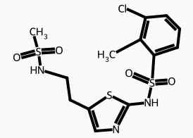 Cc1c(Cl)cccc1S(=O)(=O)Nc1ncc(CCNS(C)(=O)=O)s1